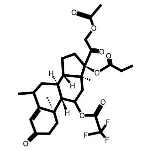 CCC(=O)O[C@]1(C(=O)COC(C)=O)CC[C@H]2[C@@H]3CC(C)C4=CC(=O)CC[C@]4(C)[C@H]3C(OC(=O)C(F)(F)F)C[C@@]21C